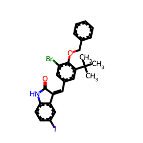 CC(C)(C)c1cc(C=C2C(=O)Nc3ccc(I)cc32)cc(Br)c1OCc1ccccc1